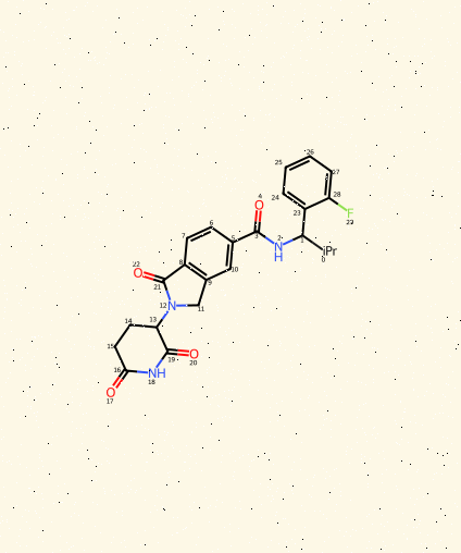 CC(C)C(NC(=O)c1ccc2c(c1)CN(C1CCC(=O)NC1=O)C2=O)c1ccccc1F